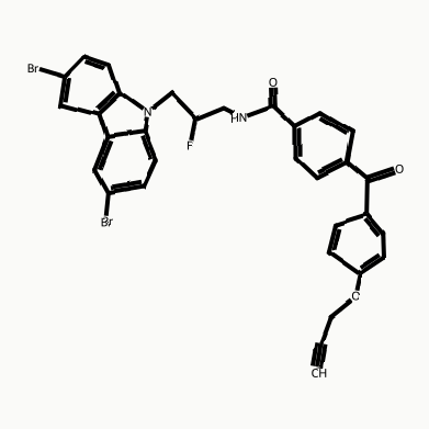 C#CCOc1ccc(C(=O)c2ccc(C(=O)NCC(F)Cn3c4ccc(Br)cc4c4cc(Br)ccc43)cc2)cc1